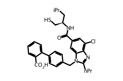 CCCc1nc2c(Cl)cc(C(=O)N[C@@H](CS)CC(C)C)cc2n1Cc1ccc(-c2ccccc2C(=O)O)cc1